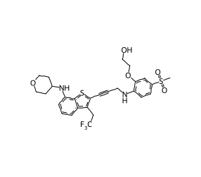 CS(=O)(=O)c1ccc(NCC#Cc2sc3c(NC4CCOCC4)cccc3c2CC(F)(F)F)c(OCCO)c1